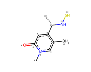 Bc1cn(C)c(=O)cc1[C@H](C)NS